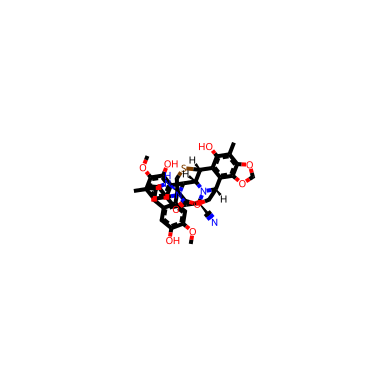 C=CCN1C2c3c(cc(C)c(OC)c3O)CC1[C@H](C#N)N1[C@H]2[C@@H]2SC[C@]3(NCCc4cc(O)c(OC)cc43)C(=O)OC[C@H]1c1c3c(c(C)c(O)c12)OCO3